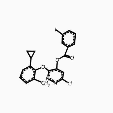 Cc1cccc(C2CC2)c1Oc1nnc(Cl)cc1OC(=O)c1cccc(I)c1